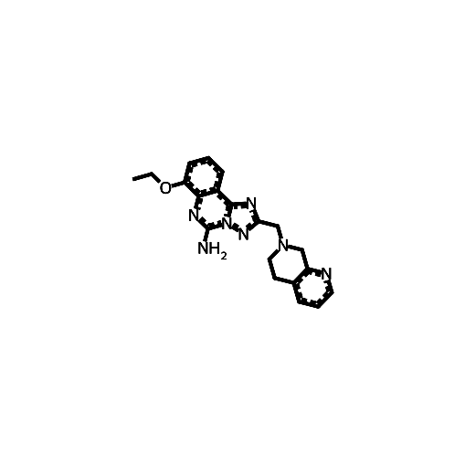 CCOc1cccc2c1nc(N)n1nc(CN3CCc4cccnc4C3)nc21